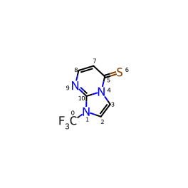 FC(F)(F)n1ccn2c(=S)ccnc12